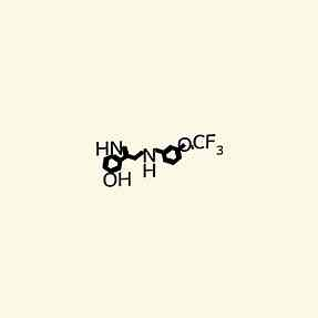 Oc1ccc2[nH]cc(CCNCc3cccc(OCC(F)(F)F)c3)c2c1